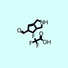 O=C(O)C(F)(F)F.O=CC1C=C2CNCC2C1